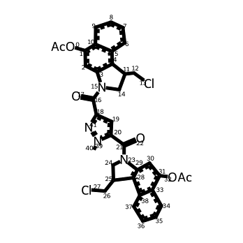 CC(=O)Oc1cc2c(c3ccccc13)C(CCl)CN2C(=O)c1cc(C(=O)N2CC(CCl)c3c2cc(OC(C)=O)c2ccccc32)n(C)n1